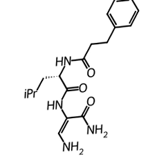 CC(C)C[C@H](NC(=O)CCc1ccccc1)C(=O)N/C(=C/N)C(N)=O